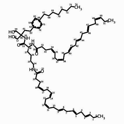 CCC=CCC=CCC=CC/C=C\C/C=C\C/C=C\CCC(=O)NCCCC[C@H](NC(=O)CC/C=C\C/C=C\CC=CCC=CCC=CC/C=C\CC)C(=O)NC(CO)(CO)CCc1ccc(CCCCCCCC)cc1